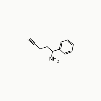 [C]#CCCC(N)c1ccccc1